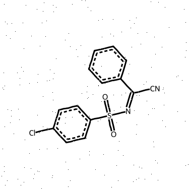 N#C/C(=N/S(=O)(=O)c1ccc(Cl)cc1)c1ccccc1